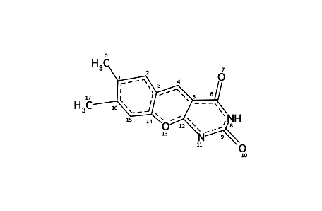 Cc1cc2cc3c(=O)[nH]c(=O)nc-3oc2cc1C